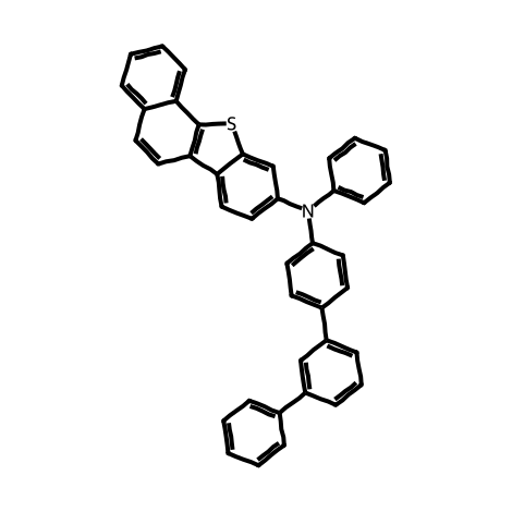 c1ccc(-c2cccc(-c3ccc(N(c4ccccc4)c4ccc5c(c4)sc4c6ccccc6ccc54)cc3)c2)cc1